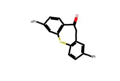 CCCc1ccc2c(c1)Sc1ccc(C(C)C)cc1CC2=O